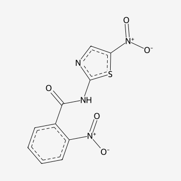 O=C(Nc1ncc([N+](=O)[O-])s1)c1ccccc1[N+](=O)[O-]